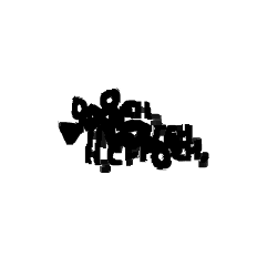 C[C@H](Nc1nn(C)c(=O)c2cc(=O)n(C3CC3)cc12)c1cccc(C(F)(F)C(=O)N(C)C)c1F